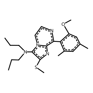 CCCN(CCC)c1c(SC)nc2c(-c3c(C)cc(C)cc3OC)nccn12